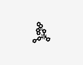 c1ccc(-c2ccc(-c3nc(-c4ccccc4)nc(-c4cccc(-n5c6ccc7ccccc7c6c6ccc7ccccc7c65)c4)n3)cc2)cc1